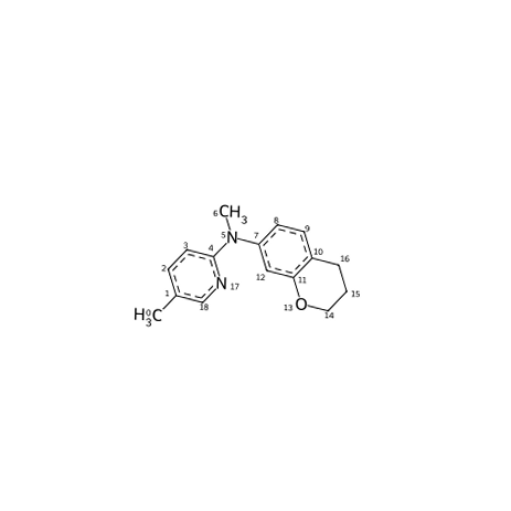 Cc1ccc(N(C)c2ccc3c(c2)OCCC3)nc1